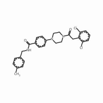 Cc1ccc(CNC(=O)c2ccc(N3CCN(C(=O)Cc4c(Cl)cccc4Cl)CC3)cc2)cc1